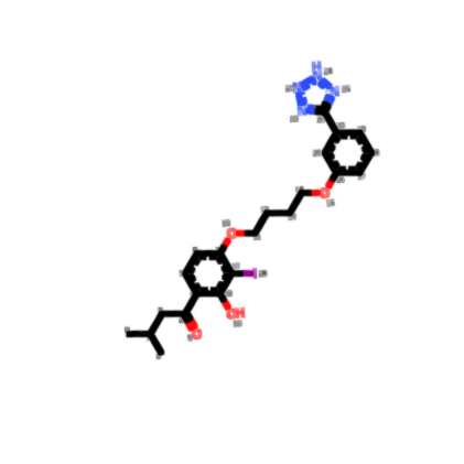 CC(C)CC(=O)c1ccc(OCCCCOc2cccc(-c3nn[nH]n3)c2)c(I)c1O